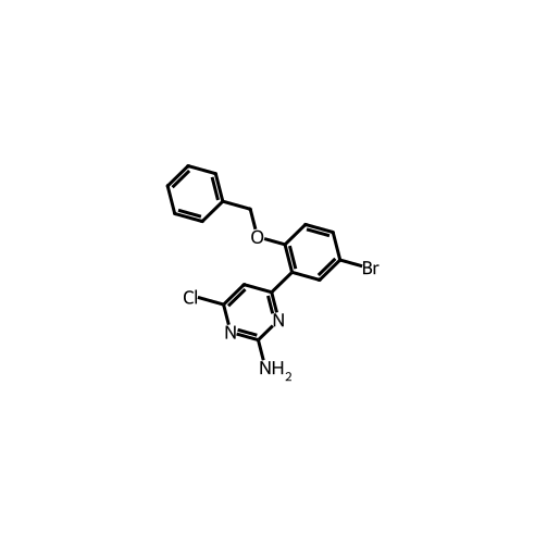 Nc1nc(Cl)cc(-c2cc(Br)ccc2OCc2ccccc2)n1